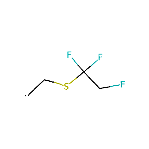 [CH2]CSC(F)(F)CF